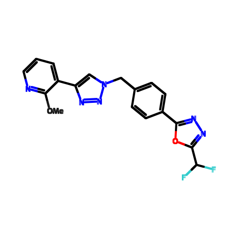 COc1ncccc1-c1cn(Cc2ccc(-c3nnc(C(F)F)o3)cc2)nn1